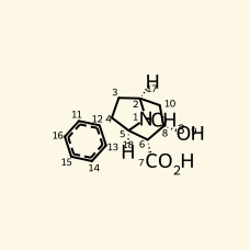 CN1[C@H]2CC[C@@H]1[C@@H](C(=O)O)[C@@H](O)C2.c1ccccc1